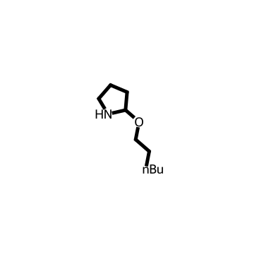 CCCCCCOC1CCCN1